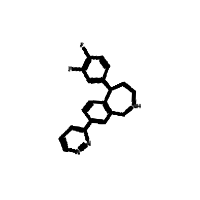 Fc1ccc(C2CCNCc3cc(-c4cccnn4)ccc32)cc1F